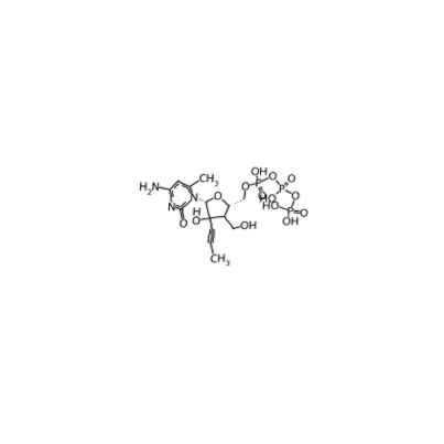 CC#CC1(O)C(CO)[C@@H](COP(=O)(O)OP(=O)(O)OP(=O)(O)O)O[C@H]1n1c(C)cc(N)nc1=O